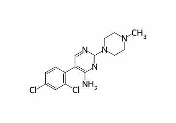 CN1CCN(c2ncc(-c3ccc(Cl)cc3Cl)c(N)n2)CC1